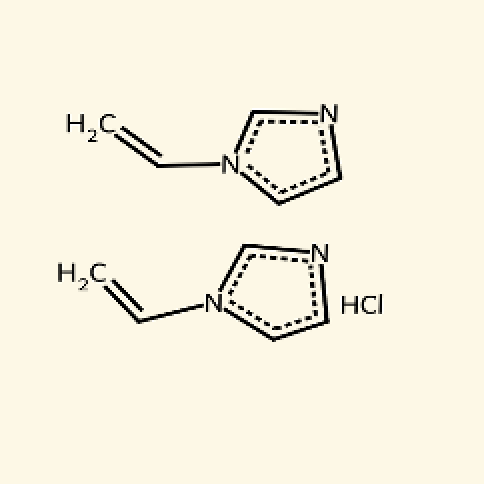 C=Cn1ccnc1.C=Cn1ccnc1.Cl